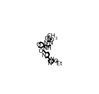 CCOc1cncc(-c2ccc(C(=O)NC3(c4ccnc(S(C)(=O)=O)n4)CCOCC3)nc2)n1